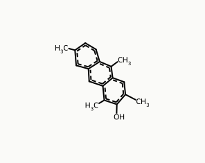 Cc1ccc2c(C)c3cc(C)c(O)c(C)c3cc2c1